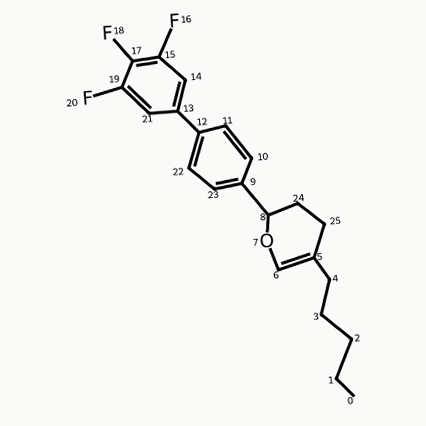 CCCCCC1=COC(c2ccc(-c3cc(F)c(F)c(F)c3)cc2)CC1